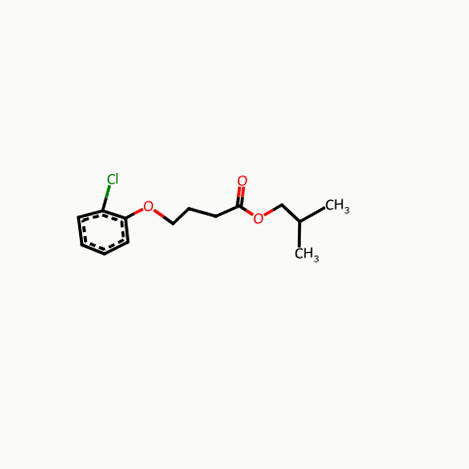 CC(C)COC(=O)CCCOc1ccccc1Cl